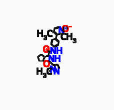 Cc1cc[n+]([O-])c(C)c1-c1ccc(NC(=O)[C@@H](NC(=O)c2ccnn2C)C2CCCC2)cc1